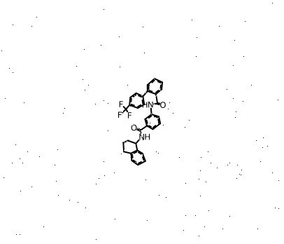 O=C(NC1CCCc2ccccc21)c1cccc(NC(=O)c2ccccc2-c2ccc(C(F)(F)F)cc2)c1